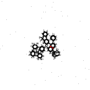 CC1(C)c2ccccc2-c2cc(-c3ccccc3-c3ccccc3)c(N(c3ccc(C45CC6CC(CC(C6)C4)C5)cc3)c3ccc([Si](c4ccccc4)(c4ccccc4)c4ccccc4)cc3)cc21